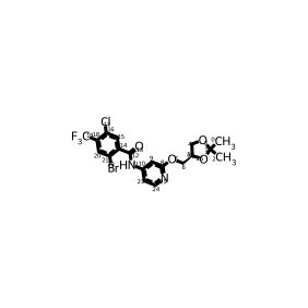 CC1(C)OC[C@H](COc2cc(NC(=O)c3cc(Cl)c(C(F)(F)F)cc3Br)ccn2)O1